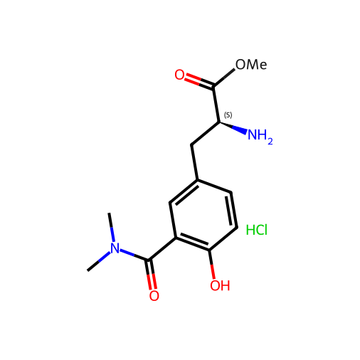 COC(=O)[C@@H](N)Cc1ccc(O)c(C(=O)N(C)C)c1.Cl